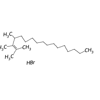 Br.CCCCCCCCCCCCCC(C)C(C)=C(C)C